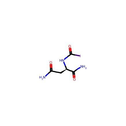 NC(=O)C[C@@H](NC(=O)I)C(N)=O